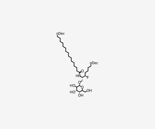 CCCCCCCCCCCCCCCCCCCCCCCCCC(=O)N[C@@H](CO[C@H]1OC(CO)[C@H](O)[C@H](O)C1O)[C@H](F)CCCCCCCCCCCCCC